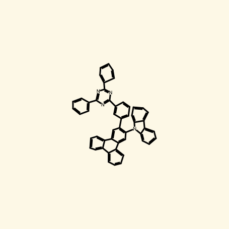 c1ccc(-c2nc(-c3ccccc3)nc(-c3cccc(-c4cc5c6ccccc6c6ccccc6c5cc4-n4c5ccccc5c5ccccc54)c3)n2)cc1